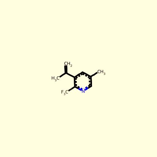 C=C(C)c1cc(C)cnc1C(F)(F)F